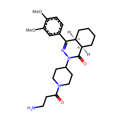 COc1ccc(C2=NN(C3CCN(C(=O)CCN)CC3)C(=O)[C@@H]3CCCC[C@H]23)cc1OC